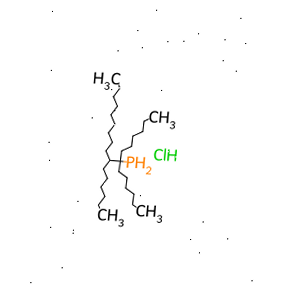 CCCCCCCCCC(CCCCCC)C(P)(CCCCCC)CCCCCC.Cl